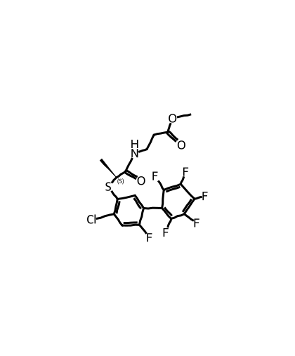 COC(=O)CCNC(=O)[C@H](C)Sc1cc(-c2c(F)c(F)c(F)c(F)c2F)c(F)cc1Cl